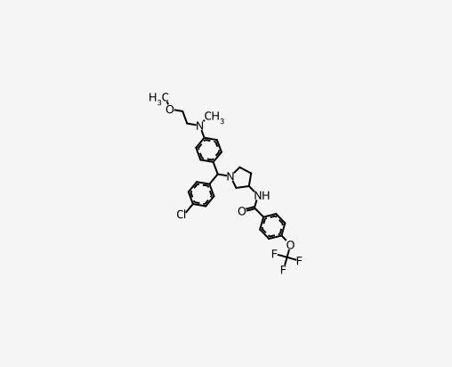 COCCN(C)c1ccc(C(c2ccc(Cl)cc2)N2CCC(NC(=O)c3ccc(OC(F)(F)F)cc3)C2)cc1